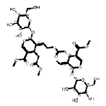 C/C=C1/[C@H](O[C@@H]2O[C@H](CO)[C@@H](O)[C@H](O)[C@H]2O)OC=C(C(=O)OC)[C@H]1CC(=O)OC/C=C1\C(CC(=O)OC)C(C(=O)OC)=CO[C@H]1O[C@@H]1O[C@H](CO)[C@@H](O)[C@H](O)[C@H]1O